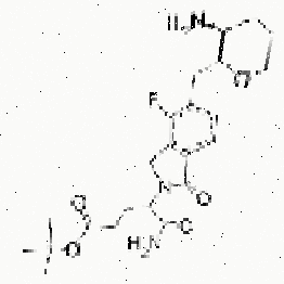 CC(C)(C)OC(=O)CC[C@@H](C(N)=O)N1Cc2c(ccc(C[C@H]3OCCC[C@@H]3N)c2F)C1=O